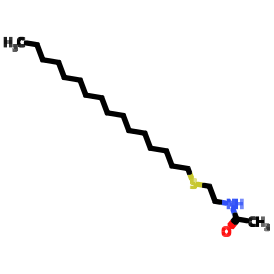 CCCCCCCCCCCCCCCCSCCNC(C)=O